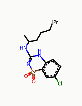 CC(C)CCCC(C)NC1=NS(=O)(=O)c2cc(Cl)ccc2N1